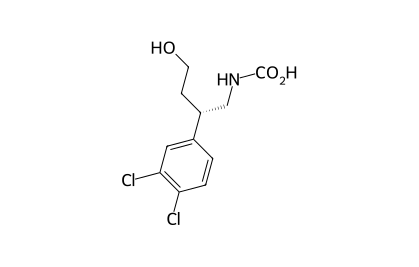 O=C(O)NC[C@@H](CCO)c1ccc(Cl)c(Cl)c1